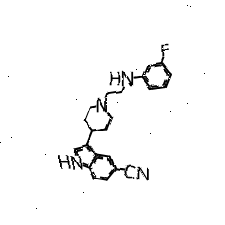 N#Cc1ccc2[nH]cc(C3CCN(CCNc4cccc(F)c4)CC3)c2c1